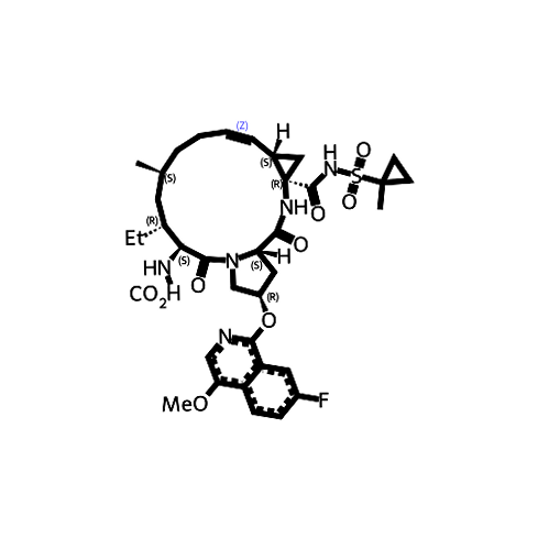 CC[C@@H]1C[C@@H](C)CC/C=C\[C@@H]2C[C@@]2(C(=O)NS(=O)(=O)C2(C)CC2)NC(=O)[C@@H]2C[C@@H](Oc3ncc(OC)c4ccc(F)cc34)CN2C(=O)[C@H]1NC(=O)O